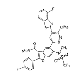 CNC(=O)c1c(-c2ccc(F)cc2)oc2cc(N(C)S(C)(=O)=O)c(-c3cnc(OC)c(-c4nc5c(F)cccc5s4)c3)cc12